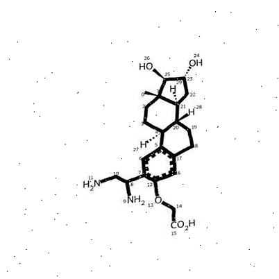 C[C@]12CC[C@@H]3c4cc(C(N)CN)c(OCC(=O)O)cc4CC[C@H]3[C@@H]1C[C@@H](O)[C@@H]2O